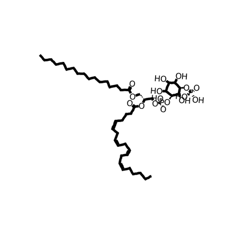 CCCCC/C=C\C/C=C\C/C=C\C/C=C\CCCC(=O)O[C@H](COC(=O)CCCCCCCCCCCCCCCC)COP(=O)(O)O[C@H]1C(O)C(O)C(O)[C@@H](OP(=O)(O)O)C1O